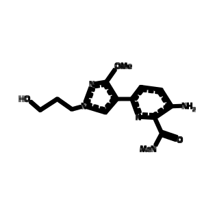 CNC(=O)c1nc(-c2cn(CCCO)nc2OC)ccc1N